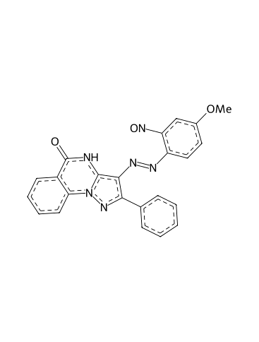 COc1ccc(/N=N/c2c(-c3ccccc3)nn3c2[nH]c(=O)c2ccccc23)c(N=O)c1